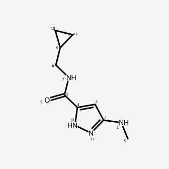 CNc1cc(C(=O)NCC2CC2)[nH]n1